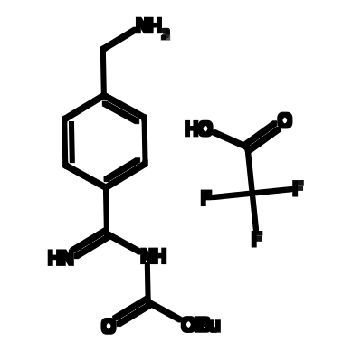 CC(C)COC(=O)NC(=N)c1ccc(CN)cc1.O=C(O)C(F)(F)F